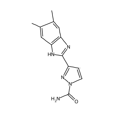 Cc1cc2nc(-c3[c]cn(C(N)=O)n3)[nH]c2cc1C